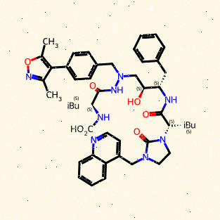 CC[C@H](C)[C@H](NC(=O)O)C(=O)NN(Cc1ccc(-c2c(C)noc2C)cc1)C[C@H](O)[C@H](Cc1ccccc1)NC(=O)[C@H]([C@@H](C)CC)N1CCN(Cc2ccnc3ccccc23)C1=O